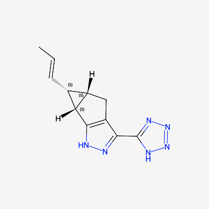 CC=C[C@@H]1[C@@H]2Cc3c(-c4nnn[nH]4)n[nH]c3[C@H]12